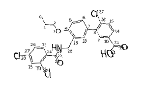 CCCOc1ccc(-c2cc(C(=O)O)ccc2Cl)cc1CNC(=O)c1ccc(Cl)cc1Cl